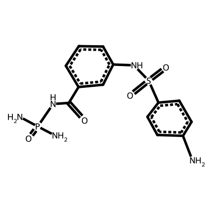 Nc1ccc(S(=O)(=O)Nc2cccc(C(=O)NP(N)(N)=O)c2)cc1